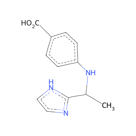 CC(Nc1ccc(C(=O)O)cc1)c1ncc[nH]1